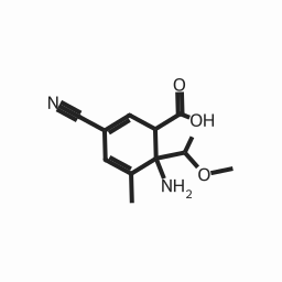 COC(C)C1(N)C(C)=CC(C#N)=CC1C(=O)O